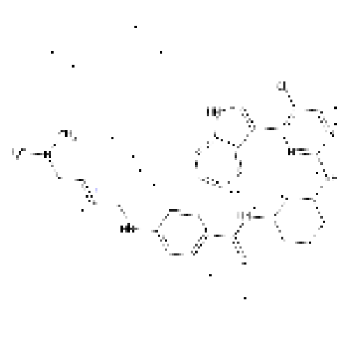 CN(C)C/C=C/CNc1ccc(C(=O)NC2CCCC(Nc3ncc(Cl)c(-c4c[nH]c5ccccc45)n3)C2)cc1